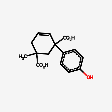 CC1(C(=O)O)CC=CC(C(=O)O)(c2ccc(O)cc2)C1